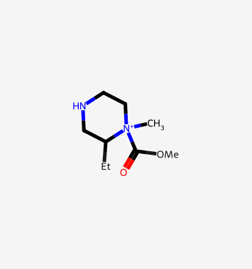 CCC1CNCC[N+]1(C)C(=O)OC